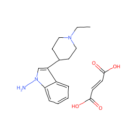 CCN1CCC(c2cn(N)c3ccccc23)CC1.O=C(O)/C=C/C(=O)O